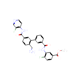 CCCOC(=O)c1ccc(F)c(NC(=O)c2cccc(-c3cc(C(=O)Nc4ccncc4F)ccc3CN)c2)c1